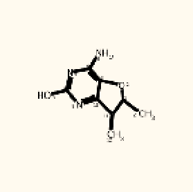 CC1Oc2c(N)nc(O)nc2C1C